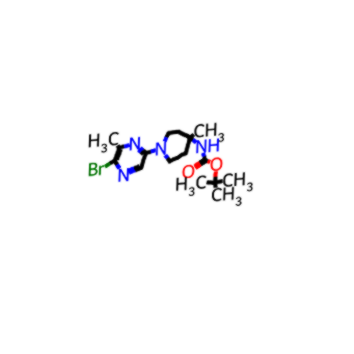 Cc1nc(N2CCC(C)(NC(=O)OC(C)(C)C)CC2)cnc1Br